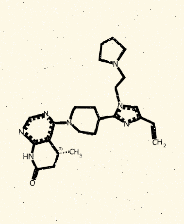 C=Cc1cn(CCN2CCCC2)c(C2CCN(c3ncnc4c3[C@H](C)CC(=O)N4)CC2)n1